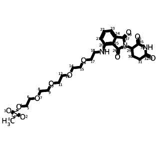 CS(=O)(=O)OCCOCCOCCOCCOCCNc1cccc2c1C(=O)N(C1CCC(=O)NC1=O)C2=O